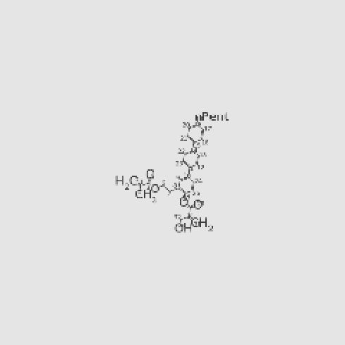 C=C(C)C(=O)OCCc1cc(-c2ccc(-c3ccc(CCCCC)cc3)cc2)ccc1OC(=O)C(=C)CO